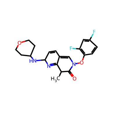 CC1C(=O)N(Oc2ccc(F)cc2F)C=C2C=CC(NC3CCOCC3)N=C21